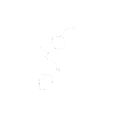 CC(C)CN1CCC2(CC1)SC(NC1CC3CCC1C3)=NC2=O